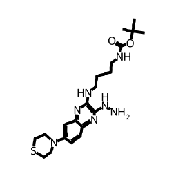 CC(C)(C)OC(=O)NCCCCNc1nc2cc(N3CCSCC3)ccc2nc1NN